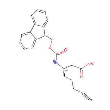 C#CCCC[C@H](CC(=O)O)NC(=O)OCC1c2ccccc2-c2ccccc21